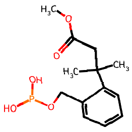 COC(=O)CC(C)(C)c1ccccc1COP(O)O